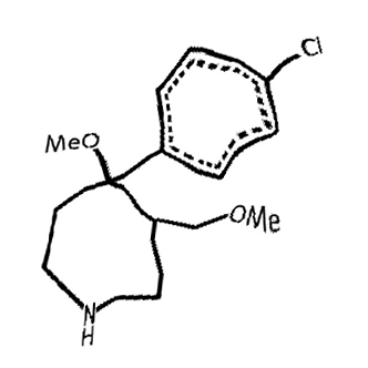 COC1CNCCC1(OC)c1ccc(Cl)cc1